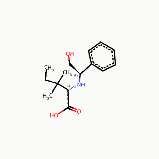 CCC(C)(C)[C@H](N[C@@H](CO)c1ccccc1)C(=O)O